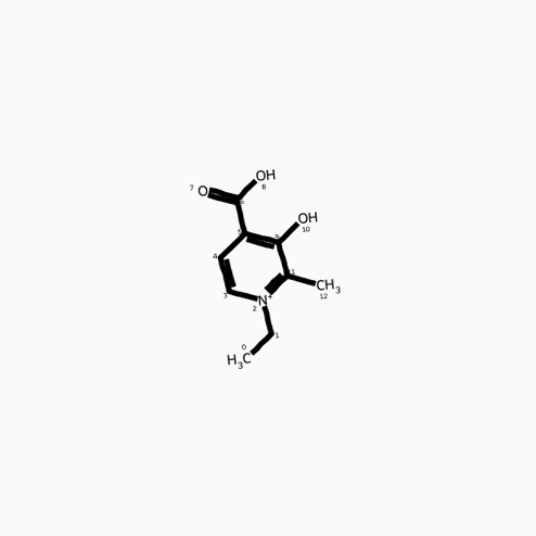 CC[n+]1ccc(C(=O)O)c(O)c1C